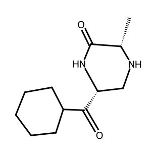 C[C@@H]1NC[C@H](C(=O)C2CCCCC2)NC1=O